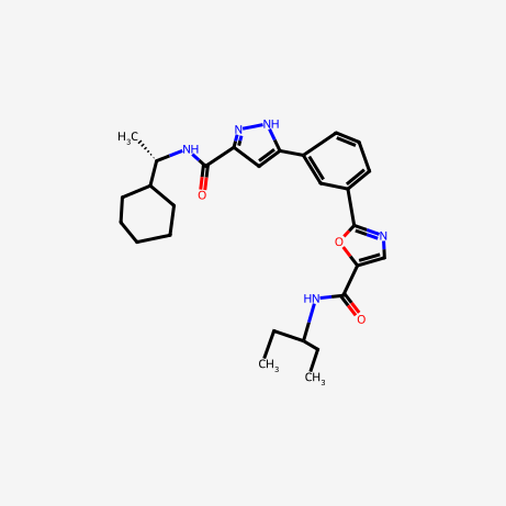 CCC(CC)NC(=O)c1cnc(-c2cccc(-c3cc(C(=O)N[C@@H](C)C4CCCCC4)n[nH]3)c2)o1